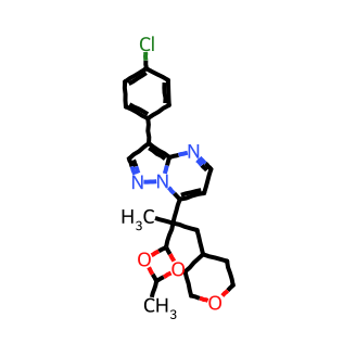 CC1OC(C(C)(CC2CCOCC2)c2ccnc3c(-c4ccc(Cl)cc4)cnn23)O1